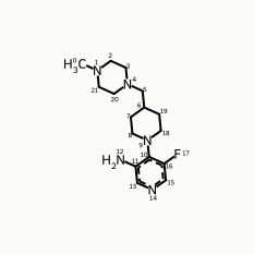 CN1CCN(CC2CCN(c3c(N)cncc3F)CC2)CC1